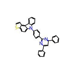 c1ccc(-c2cc(-c3ccccc3)nc(-c3ccc(-n4c5ccccc5c5c6ccsc6ccc54)cc3)n2)cc1